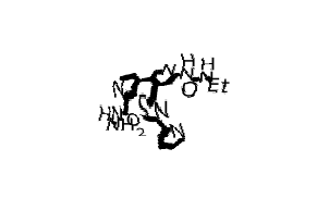 CCNC(=O)Nc1cc(-c2nc(-c3ccccn3)cs2)c(-c2ccnc(C(=O)NN)c2)cn1